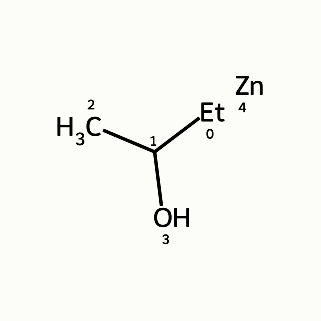 CCC(C)O.[Zn]